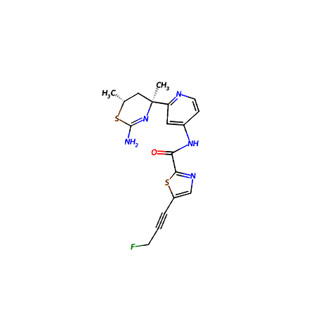 C[C@@H]1C[C@@](C)(c2cc(NC(=O)c3ncc(C#CCF)s3)ccn2)N=C(N)S1